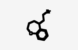 BrCCC1CCCOc2ccccc21